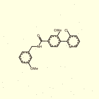 COc1cccc(CNC(=O)c2ccc(-c3ncccc3Cl)c(OC)c2)c1